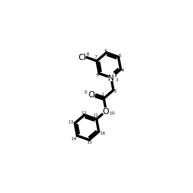 O=C(C[n+]1cccc(Cl)c1)Oc1ccccc1